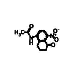 CC(=O)Nc1ccc([N+](=O)[O-])c2c1CCCC2=O